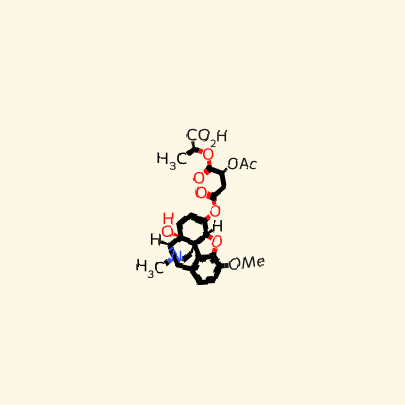 COc1ccc2c3c1O[C@H]1C(OC(=O)C[C@H](OC(C)=O)C(=O)O[C@@H](C)C(=O)O)=CC[C@@]4(O)[C@@H](C2)N(C)CC[C@]314